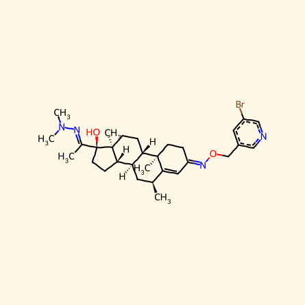 C/C(=N\N(C)C)[C@@]1(O)CC[C@H]2[C@@H]3C[C@H](C)C4=C/C(=N/OCc5cncc(Br)c5)CC[C@]4(C)[C@H]3CC[C@@]21C